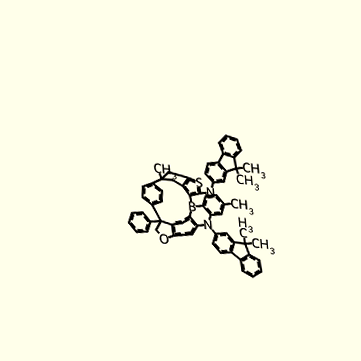 Cc1cc2c3c(c1)N(c1ccc4c(c1)C(C)(C)c1ccccc1-4)c1sc4c5c1B3c1cc3c(cc1N2c1ccc2c(c1)C(C)(C)c1ccccc1-2)OCC3(c1ccccc1)c1ccc(cc1)C(C)(C4)C5